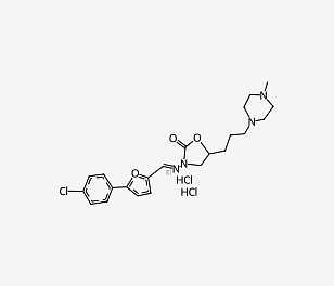 CN1CCN(CCCC2CN(/N=C/c3ccc(-c4ccc(Cl)cc4)o3)C(=O)O2)CC1.Cl.Cl